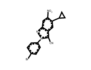 N#Cc1c2cc(C3CC3)c([N+](=O)[O-])cc2nn1-c1ccc(Br)cc1